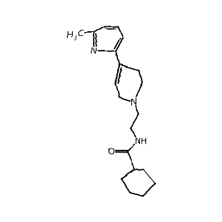 Cc1cccc(C2=CCN(CCNC(=O)C3CCCCC3)CC2)n1